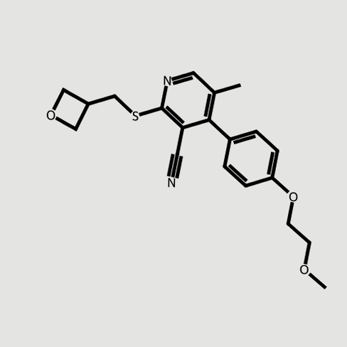 COCCOc1ccc(-c2c(C)cnc(SCC3COC3)c2C#N)cc1